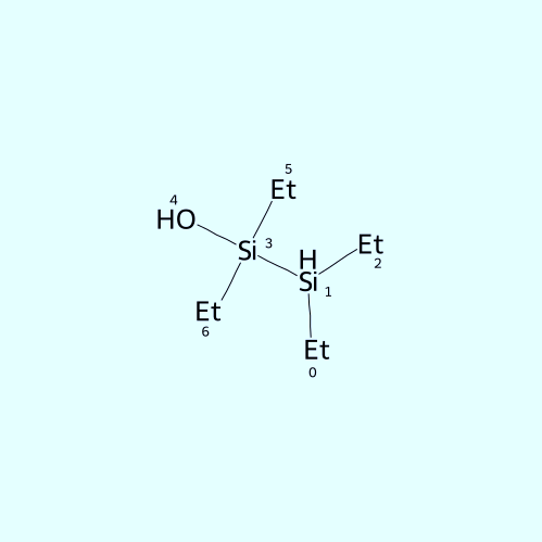 CC[SiH](CC)[Si](O)(CC)CC